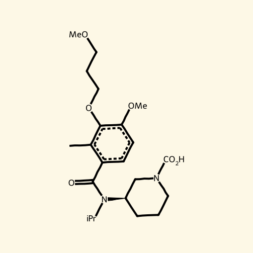 COCCCOc1c(OC)ccc(C(=O)N(C(C)C)[C@@H]2CCCN(C(=O)O)C2)c1C